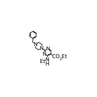 CCNc1nc(N2CCN(Cc3ccccc3)CC2)ncc1C(=O)OCC